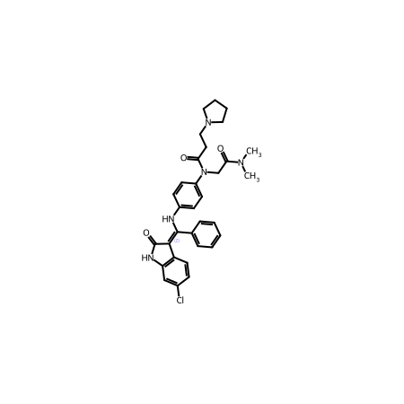 CN(C)C(=O)CN(C(=O)CCN1CCCC1)c1ccc(N/C(=C2\C(=O)Nc3cc(Cl)ccc32)c2ccccc2)cc1